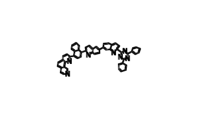 c1ccc(-c2nc(-c3ccccc3)nc(-c3ccc4ccc(-c5ccc6nc(-c7ccc(-c8ccc9ccc%10ccncc%10c9n8)c8ccccc78)ccc6c5)cc4n3)n2)cc1